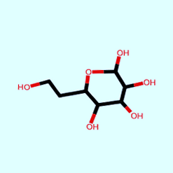 OCCC1OC(O)C(O)C(O)C1O